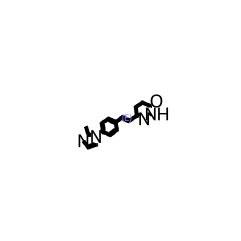 Cc1nccn1-c1ccc(/C=C/C2=NNC(=O)CC2)cc1